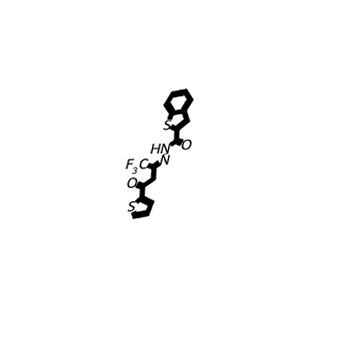 O=C(C/C(=N/NC(=O)c1cc2ccccc2s1)C(F)(F)F)c1cccs1